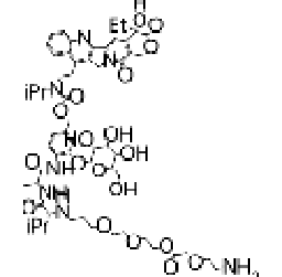 CC[C@@]1(O)C(=O)OCc2c1cc1n(c2=O)Cc2c-1nc1ccccc1c2CCN(C(=O)OCc1ccc(NC(=O)[C@H](C)NC(=O)[C@@H](NCCCOCCOCCOC(=O)COCCN)C(C)C)c(O[C@@H]2O[C@H](CO)[C@H](O)[C@H](O)[C@H]2O)c1)C(C)C